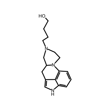 OCCCCN1CCN2c3cccc4[nH]cc(c34)CC2C1